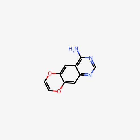 Nc1ncnc2cc3c(cc12)OC=CO3